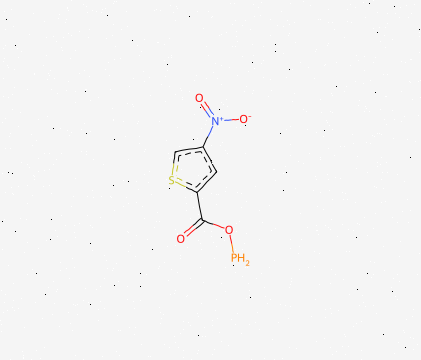 O=C(OP)c1cc([N+](=O)[O-])cs1